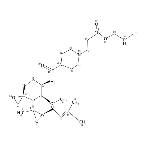 CO[C@H]1[C@H](C2(C)O[C@@H]2CC=C(C)C)[C@]2(CC[C@H]1OC(=O)N1CCN(CCC(=O)OCPF)CC1)CO2